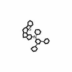 c1ccc(-c2cc(-c3ccccc3)cc(N(c3ccccc3)c3ccc4ccc5ccc6c7ccccc7sc6c5c4c3)c2)cc1